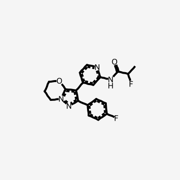 CC(F)C(=O)Nc1cc(-c2c(-c3ccc(F)cc3)nn3c2OCCC3)ccn1